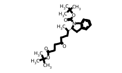 CC(CCC(=O)CCC(=O)OC(C)(C)C)[C@H]1Cc2ccccc2N1C(=O)OC(C)(C)C